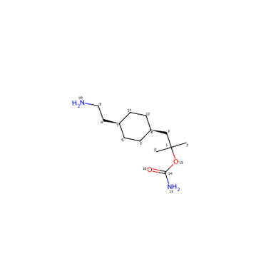 CC(C)(C[C@H]1CC[C@@H](CCN)CC1)OC(N)=O